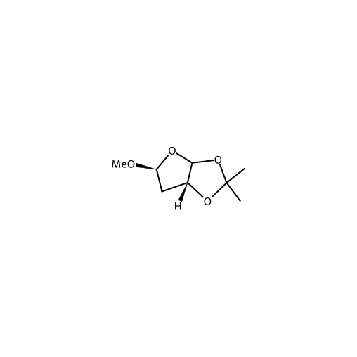 CO[C@@H]1C[C@H]2OC(C)(C)OC2O1